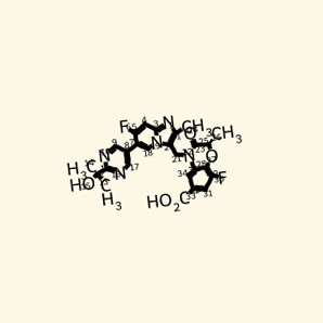 Cc1nc2cc(F)c(-c3cnc(C(C)(C)O)nc3)cn2c1CN1C(=O)[C@@H](C)Oc2c(F)cc(C(=O)O)cc21